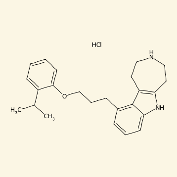 CC(C)c1ccccc1OCCCc1cccc2[nH]c3c(c12)CCNCC3.Cl